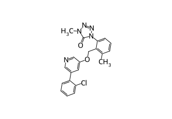 Cc1cccc(-n2nnn(C)c2=O)c1COc1cncc(-c2ccccc2Cl)c1